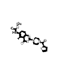 Cc1c(NC(=O)OC(C)(C)C)ccc2nc(N3CCN(C(=O)c4cccs4)CC3)oc(=O)c12